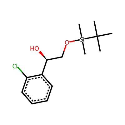 CC(C)(C)[Si](C)(C)OC[C@H](O)c1ccccc1Cl